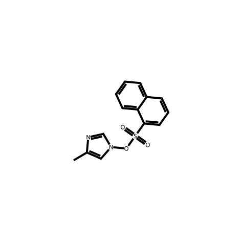 Cc1cn(OS(=O)(=O)c2cccc3ccccc23)cn1